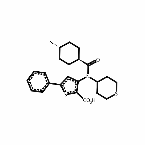 C[C@H]1CC[C@H](C(=O)N(c2cc(-c3ccccc3)sc2C(=O)O)C2CCSCC2)CC1